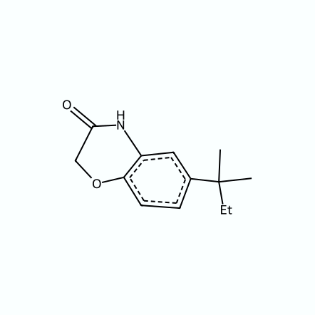 CCC(C)(C)c1ccc2c(c1)NC(=O)CO2